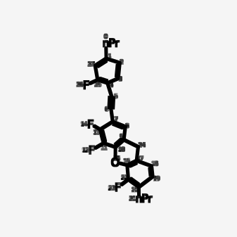 CCCc1ccc(C#Cc2cc3c(c(F)c2F)Oc2c(ccc(CCC)c2F)C3)c(F)c1